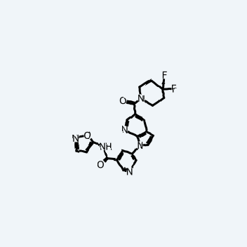 O=C(Nc1ccno1)c1cncc(-n2ccc3cc(C(=O)N4CCC(F)(F)CC4)cnc32)c1